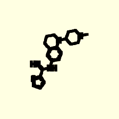 CN1CCC(N2CCCc3cc(NC(=N)c4cccs4)ccc32)CC1